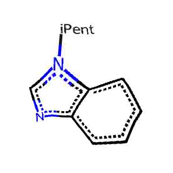 CCCC(C)n1cnc2ccccc21